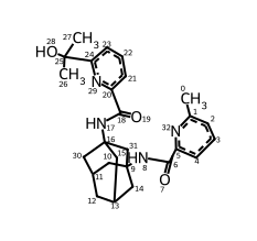 Cc1cccc(C(=O)NC23CC4CC(C2)CC(NC(=O)c2cccc(C(C)(C)O)n2)(C4)C3)n1